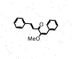 COC(=Cc1ccccc1)C(=O)C=Cc1ccccc1